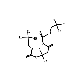 C=C(CC(CC)(CC)OC(=O)OCC(CC)(CC)CC)OC(=O)OCC(CC)(CC)CC